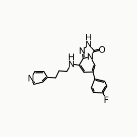 O=c1[nH]nc2c(NCCCc3ccncc3)cc(-c3ccc(F)cc3)cn12